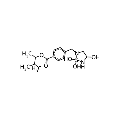 CC(C)C(C)OC(=O)c1ccc(CN2CC(O)NS2(O)O)cc1